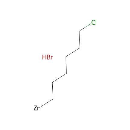 Br.ClCCCCC[CH2][Zn]